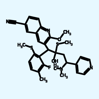 COc1nc2ccc(C#N)cc2cc1C(c1c(SC)ccc(C)c1F)C(O)(CC(c1ccncc1)N(C)C)SC